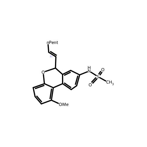 CCCCC/C=C/C1Oc2cccc(OC)c2-c2ccc(NS(C)(=O)=O)cc21